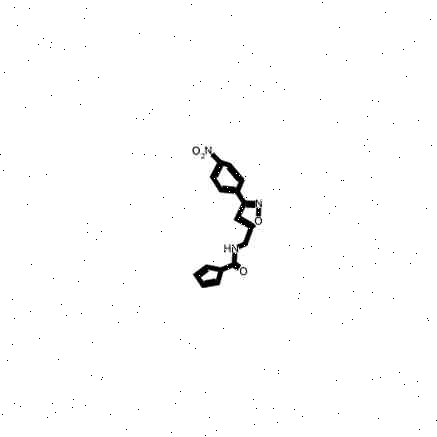 O=C(NCc1cc(-c2ccc([N+](=O)[O-])cc2)no1)C1C=CC=C1